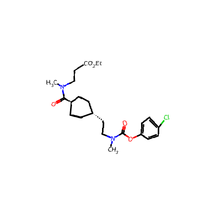 CCOC(=O)CCN(C)C(=O)[C@H]1CC[C@H](CCN(C)C(=O)Oc2ccc(Cl)cc2)CC1